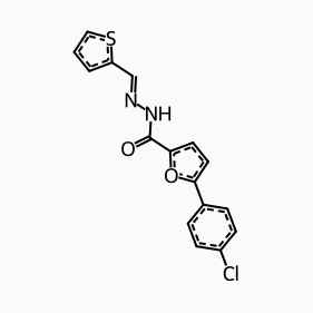 O=C(NN=Cc1cccs1)c1ccc(-c2ccc(Cl)cc2)o1